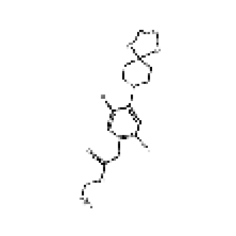 CCOC(=O)Cc1cc(F)c(N2CCC3(CC2)OCCO3)cc1F